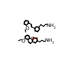 CCOc1cccc(OCC)c1/C=C\c1cccc(CCCN)c1.CCOc1ccccc1/C=C/c1cccc(CCCN)c1